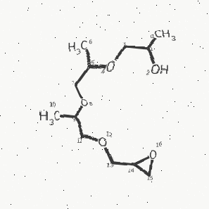 CC(O)COC(C)COC(C)COCC1CO1